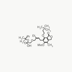 CCC(=CCc1c(OC)c(C)c2c(c1OCC[Si](C)(C)C)C(=O)OC2)COCP(=O)(O)OC(C)(C)C(C)C